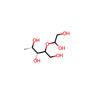 C[C@H](O)[C@@H](O)C(CO)OC(O)CO